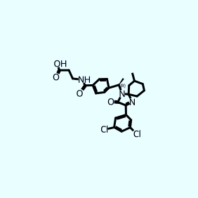 CC1CCCC2(C1)N=C(c1cc(Cl)cc(Cl)c1)C(=O)N2[C@H](C)c1ccc(C(=O)NCCC(=O)O)cc1